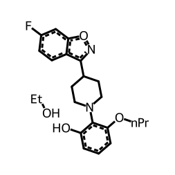 CCCOc1cccc(O)c1N1CCC(c2noc3cc(F)ccc23)CC1.CCO